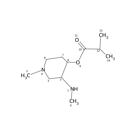 CNC1CN(C)CCC1OC(=O)C(C)C